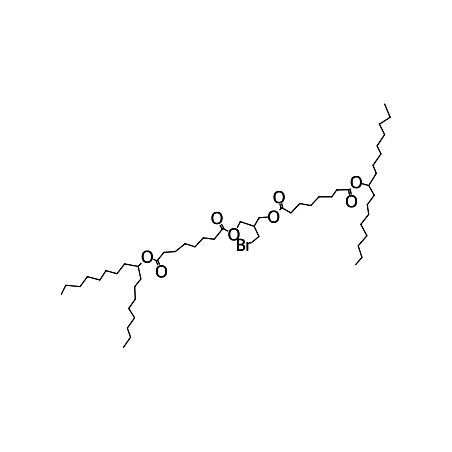 CCCCCCCCC(CCCCCCCC)OC(=O)CCCCCCC(=O)OCC(CBr)COC(=O)CCCCCCC(=O)OC(CCCCCCCC)CCCCCCCC